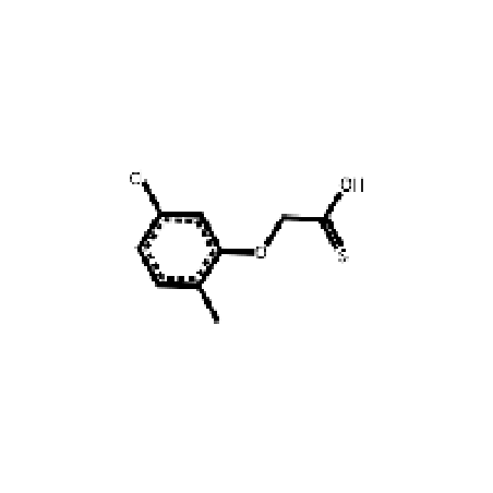 Cc1ccc(Cl)cc1OCC(O)=S